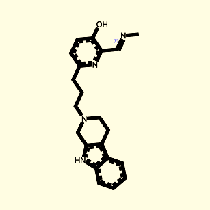 C/N=C/c1nc(CCCN2CCc3c([nH]c4ccccc34)C2)ccc1O